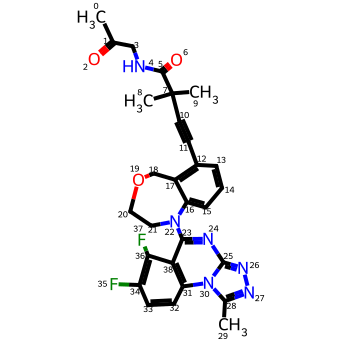 CC(=O)CNC(=O)C(C)(C)C#Cc1cccc2c1COCCN2c1nc2nnc(C)n2c2ccc(F)c(F)c12